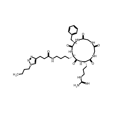 CCCCn1cc(CCC(=O)NCCCC[C@@H]2NC(=O)[C@@H](Cc3ccccc3)NC(=O)CNC(=O)CNC(=O)[C@H](CCCNC(=N)N)NC2=O)nn1